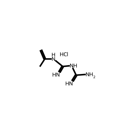 C=C(C)NC(=N)NC(=N)N.Cl